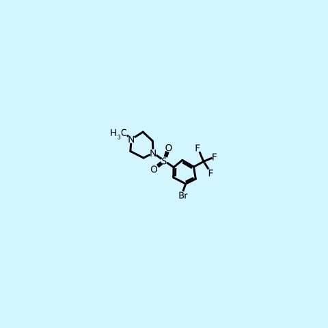 CN1CCN(S(=O)(=O)c2cc(Br)cc(C(F)(F)F)c2)CC1